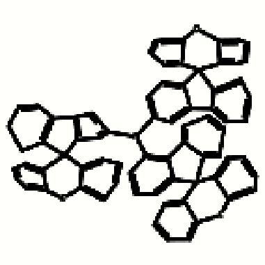 C1=CC2=C(CC1)C1(c3ccccc3Sc3ccccc31)c1cc(N(c3ccc4c(c3)-c3ccccc3C43c4ccccc4Oc4ccccc43)c3cccc4c3-c3ccccc3C43c4ccccc4Sc4ccccc43)ccc12